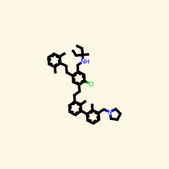 CCC(C)(CC)NCc1cc(Cl)c(CCc2cccc(-c3cccc(CN4CCCC4)c3C)c2C)cc1CCc1c(C)cccc1C